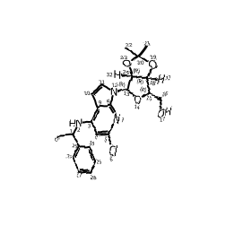 CC(Nc1cc(Cl)nc2c1ccn2[C@@H]1O[C@H](CO)[C@H]2OC(C)(C)O[C@H]21)c1ccccc1